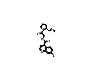 C=NC[C@@H]1CCCN1C(=O)CNC(=O)c1ccnc2cc(Br)ccc12